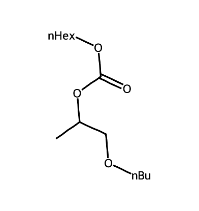 CCCCCCOC(=O)OC(C)COCCCC